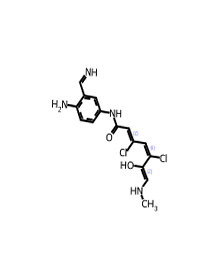 CN/C=C(O)/C(Cl)=C\C(Cl)=C\C(=O)Nc1ccc(N)c(C=N)c1